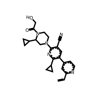 C=Cc1cc(-c2cc(C#N)c(N3CCN(C(=O)CO)C(C4CC4)C3)nc2C2CC2)ccn1